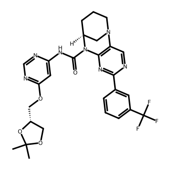 CC1(C)OC[C@@H](COc2cc(NC(=O)N3c4nc(-c5cccc(C(F)(F)F)c5)ncc4N4CCC[C@H]3C4)ncn2)O1